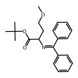 COCCC(N=C(c1ccccc1)c1ccccc1)C(=O)OC(C)(C)C